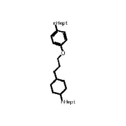 CCCCCCCc1ccc(OCCCC2CCC(CCCCCCC)CC2)cc1